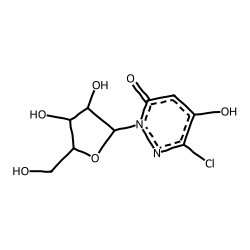 O=c1cc(O)c(Cl)nn1C1OC(CO)C(O)C1O